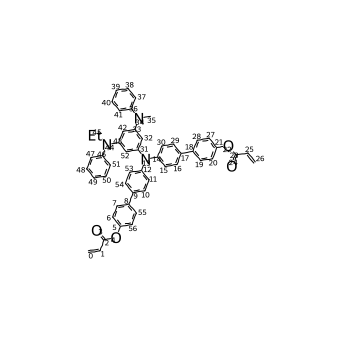 C=CC(=O)Oc1ccc(-c2ccc(N(c3ccc(-c4ccc(OC(=O)C=C)cc4)cc3)c3cc(N(C)c4ccccc4)cc(N(CC)c4ccccc4)c3)cc2)cc1